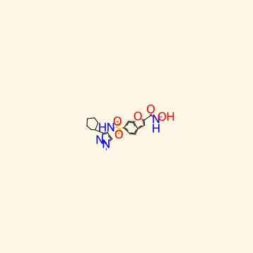 Cn1cc(NS(=O)(=O)c2ccc3cc(C(=O)NO)oc3c2)c(C2CCCCC2)n1